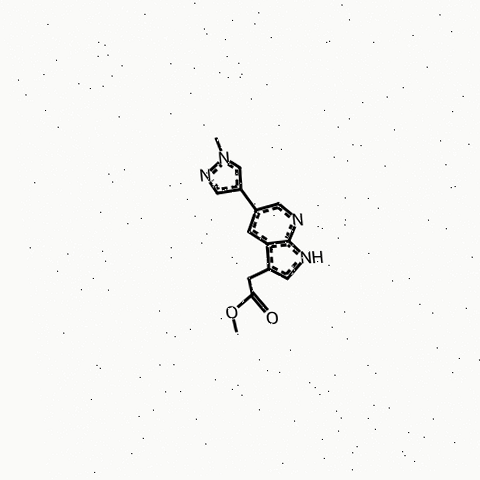 COC(=O)Cc1c[nH]c2ncc(-c3cnn(C)c3)cc12